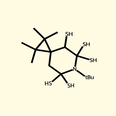 CC(C)(C)N1C(S)(S)CC2(C(S)C1(S)S)C(C)(C)C2(C)C